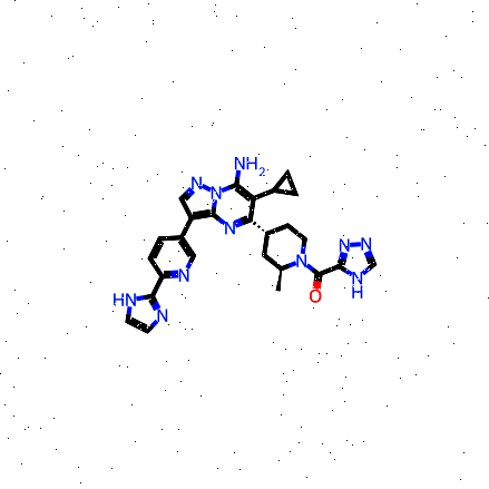 C[C@H]1C[C@H](c2nc3c(-c4ccc(-c5ncc[nH]5)nc4)cnn3c(N)c2C2CC2)CCN1C(=O)c1nnc[nH]1